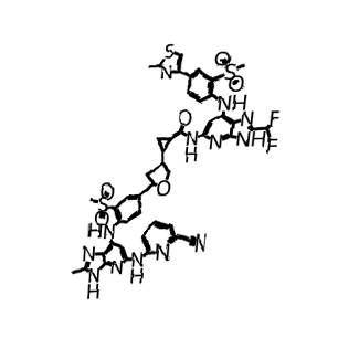 Cc1nc2c(Nc3ccc(C4CC(C5CC5C(=O)Nc5cc(Nc6ccc(-c7csc(C)n7)cc6S(C)(=O)=O)c6nc(C(F)F)[nH]c6n5)CO4)cc3S(C)(=O)=O)cc(Nc3cccc(C#N)n3)nc2[nH]1